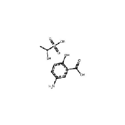 CC(S)S(=O)(=O)O.Nc1ccc(O)c(C(=O)O)c1